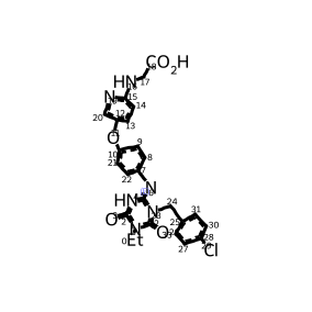 CCn1c(=O)[nH]/c(=N\c2ccc(Oc3ccc(NCC(=O)O)nc3)cc2)n(Cc2ccc(Cl)cc2)c1=O